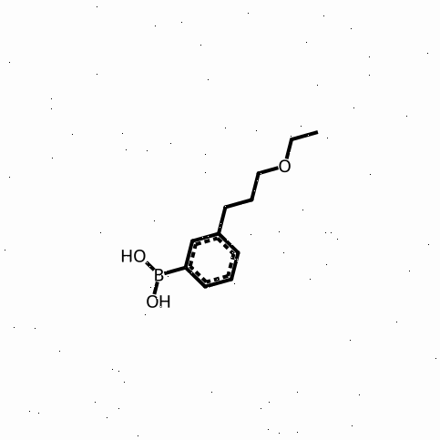 CCOCCCc1cccc(B(O)O)c1